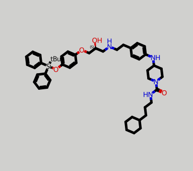 CC(C)(C)[Si](Oc1ccc(OC[C@@H](O)CNCCc2ccc(NC3CCN(C(=O)NCCCC4CCCCC4)CC3)cc2)cc1)(c1ccccc1)c1ccccc1